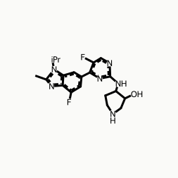 Cc1nc2c(F)cc(-c3nc(NC4CCNCC4O)ncc3F)cc2n1C(C)C